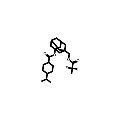 CC(C)C1CCC(C(=O)OC23CC4CC(CC(COC(=O)C(C)(F)F)(C4)C2)C3)CC1